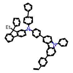 C=Cc1ccc(-c2ccc3c(c2)c2cc(-c4ccc(N(c5ccc(-c6ccccc6)cc5)c5ccc6c(c5)C(CC)(c5ccccc5)c5ccccc5-6)cc4)ccc2n3-c2ccccc2)cc1